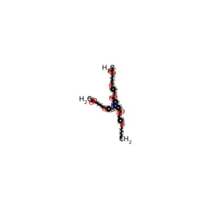 C=CCCCCCCOc1ccc(CCOC(=O)c2ccc3c(c2)c(Sc2ccc(OCCCCCCOC(=O)C=C)cc2)nc2cc(C(=O)OCCc4ccc(OCCCCCCOC(=O)C=C)cc4)ccc23)cc1